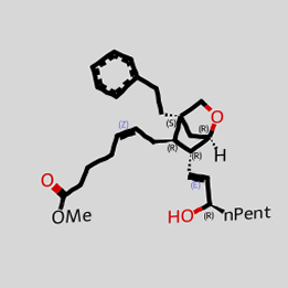 CCCCC[C@@H](O)/C=C/[C@@H]1[C@@H](C/C=C\CCCC(=O)OC)[C@@]2(CCc3ccccc3)CO[C@@H]1C2